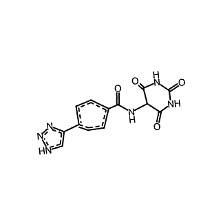 O=C1NC(=O)C(NC(=O)c2ccc(-c3c[nH]nn3)cc2)C(=O)N1